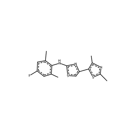 Cc1nc(C)c(-c2csc(Nc3c(C)cc(F)cc3C)n2)s1